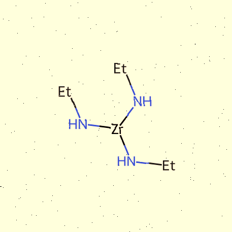 CC[NH][Zr]([NH]CC)[NH]CC